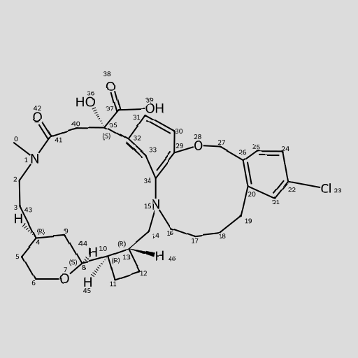 CN1CC[C@@H]2CCO[C@@H](C2)[C@@H]2CC[C@H]2CN2CCCCc3cc(Cl)ccc3COc3ccc(cc32)[C@](O)(C(=O)O)CC1=O